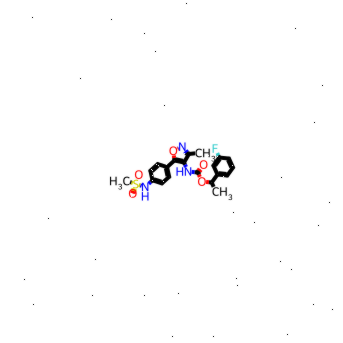 Cc1noc(-c2ccc(NS(C)(=O)=O)cc2)c1NC(=O)OC(C)c1cccc(F)c1